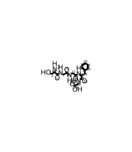 N[C@@H](CO)C(=O)NCC(=O)NCC(=O)N[C@@H](Cc1ccccc1)C(=O)NCC(=O)O